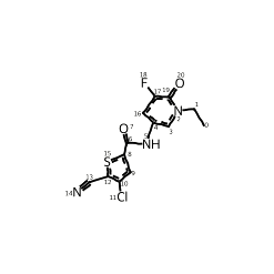 CCn1cc(NC(=O)c2cc(Cl)c(C#N)s2)cc(F)c1=O